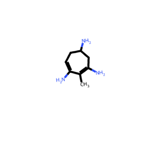 CC1=C(N)CC(N)CC=C1N